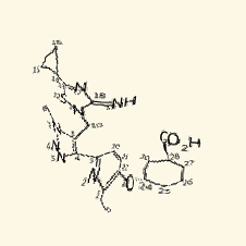 Cc1nc(-c2nnn(C)c2Cn2sc(C3CC3)nc2=N)ccc1O[C@H]1CCC[C@H](C(=O)O)C1